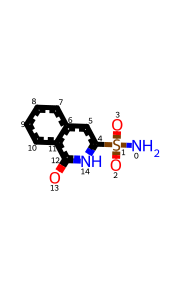 NS(=O)(=O)c1cc2ccccc2c(=O)[nH]1